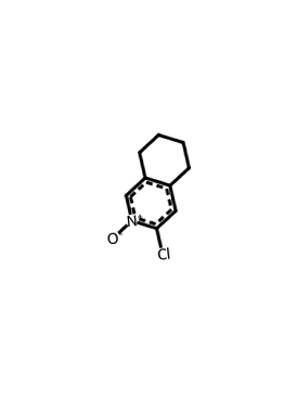 [O-][n+]1cc2c(cc1Cl)CCCC2